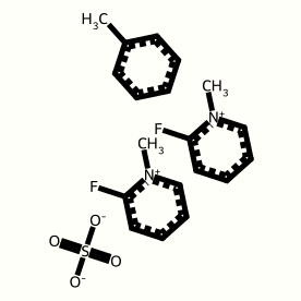 C[n+]1ccccc1F.C[n+]1ccccc1F.Cc1ccccc1.O=S(=O)([O-])[O-]